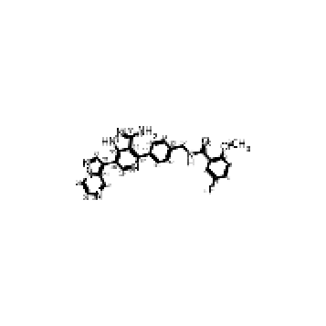 COc1ccc(F)cc1C(=O)NCc1ccc(-c2ncc(-c3cnn4ccncc34)c3[nH]nc(N)c23)cc1